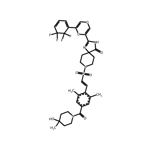 Cc1cc(C(=O)N2CCC(C)(O)CC2)cc(C)c1C=CS(=O)(=O)N1CCC2(CC1)N=C(C1=COC=C(C3=CC=CC(F)(F)C3(F)F)O1)NC2=O